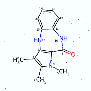 Cc1c2c(n(C)c1C)C(=O)Nc1ccccc1N2